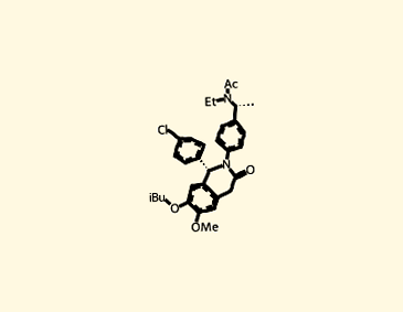 CCC(C)Oc1cc2c(cc1OC)CC(=O)N(c1ccc([C@@H](C)N(CC)C(C)=O)cc1)[C@H]2c1ccc(Cl)cc1